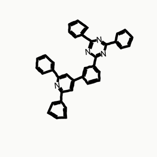 c1ccc(-c2cc(-c3cccc(-c4nc(-c5ccccc5)nc(-c5ccccc5)n4)c3)cc(-c3ccccc3)n2)cc1